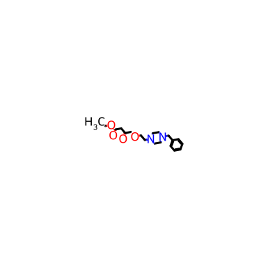 CCOC(=O)CC(=O)COCCN1CCN(Cc2ccccc2)CC1